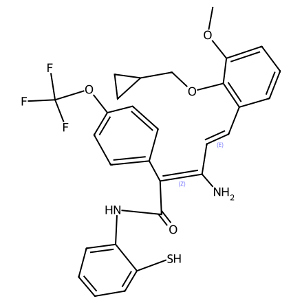 COc1cccc(/C=C/C(N)=C(/C(=O)Nc2ccccc2S)c2ccc(OC(F)(F)F)cc2)c1OCC1CC1